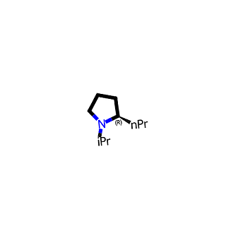 CCC[C@@H]1CCCN1C(C)C